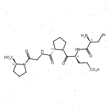 CC(C)C[C@H](N)C(=O)N[C@@H](CCC(=O)O)C(=O)N1CCC[C@H]1C(=O)NCC(=O)N1CCC[C@H]1C(=O)O